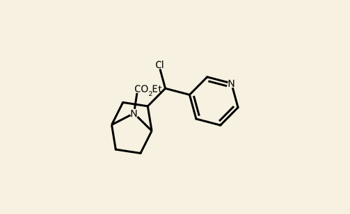 CCOC(=O)N1C2CCC1C(C(Cl)c1cccnc1)C2